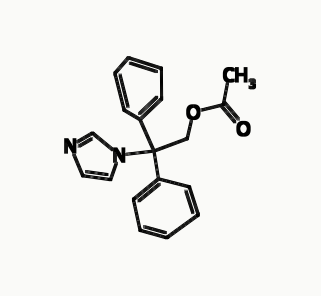 CC(=O)OCC(c1ccccc1)(c1ccccc1)n1ccnc1